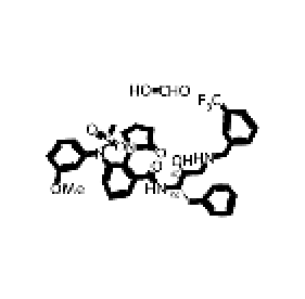 COc1cccc(N(c2cccc(C(=O)N[C@@H](Cc3ccccc3)[C@H](O)CNCc3cccc(C(F)(F)F)c3)c2N2CCCC2=O)S(C)(=O)=O)c1.O=CO